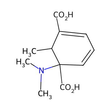 CC1C(C(=O)O)=CC=CC1(C(=O)O)N(C)C